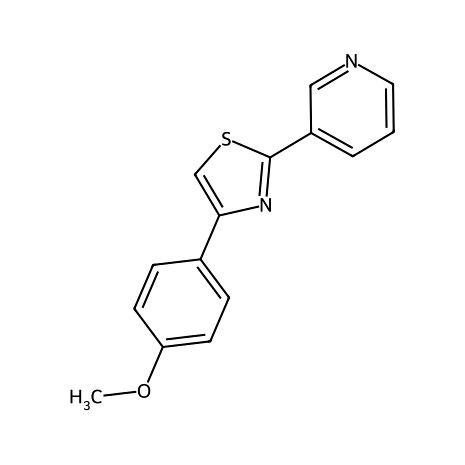 COc1ccc(-c2csc(-c3cccnc3)n2)cc1